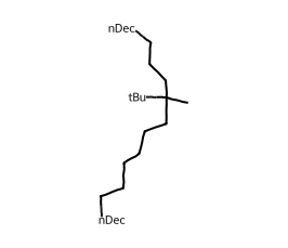 CCCCCCCCCCCCCCCCC(C)(CCCCCCCCCCCCC)C(C)(C)C